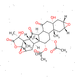 CC(=O)O[C@H]1C2C(C(=O)C[C@@]3(O)C[C@@H]4O[C@@H]4C[C@]23C)[C@@H]2C(=O)[C@@H]3[C@H]([C@H](C)[C@H]4O[C@]45OC(=O)[C@@](C)(O)[C@]35C)[C@@]2(C)[C@H]1OC(C)=O